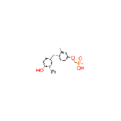 Cc1cc(OCP(C)(=O)O)ccc1Cc1ccc(O)c(C(C)C)c1